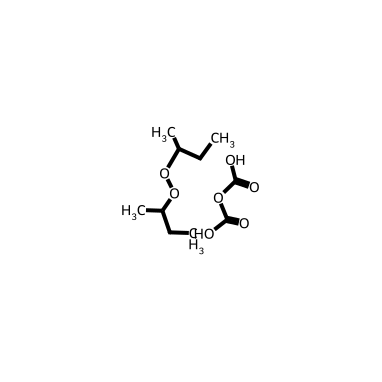 CCC(C)OOC(C)CC.O=C(O)OC(=O)O